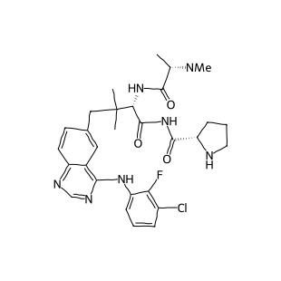 CN[C@@H](C)C(=O)N[C@H](C(=O)NC(=O)[C@@H]1CCCN1)C(C)(C)Cc1ccc2ncnc(Nc3cccc(Cl)c3F)c2c1